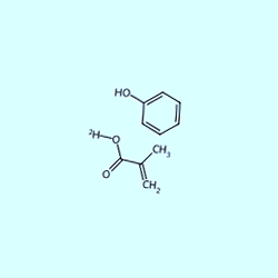 Oc1ccccc1.[2H]OC(=O)C(=C)C